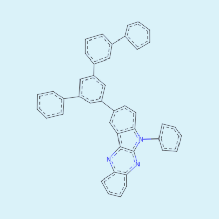 c1ccc(-c2cccc(-c3cc(-c4ccccc4)cc(-c4ccc5c(c4)c4nc6ccccc6nc4n5-c4ccccc4)c3)c2)cc1